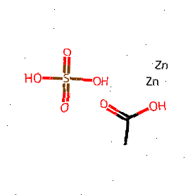 CC(=O)O.O=S(=O)(O)O.[Zn].[Zn]